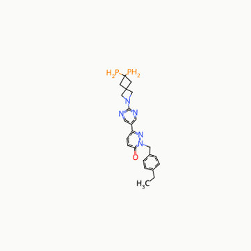 CCc1ccc(Cn2nc(-c3cnc(N4CC5(C4)CC(P)(P)C5)nc3)ccc2=O)cc1